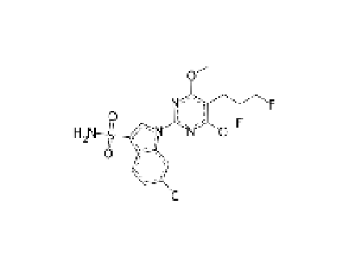 COc1nc(-n2cc(S(N)(=O)=O)c3ccc(Cl)cc32)nc(OC)c1CC(F)CF